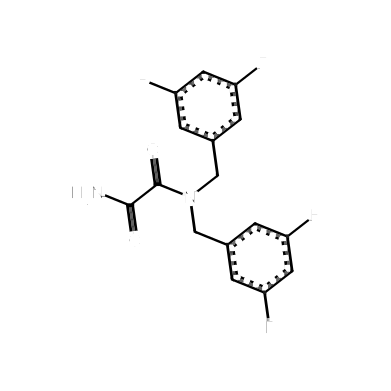 NC(=O)C(=O)N(Cc1cc(F)cc(F)c1)Cc1cc(F)cc(F)c1